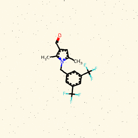 Cc1cc(C=O)c(C)n1Cc1cc(C(F)(F)F)cc(C(F)(F)F)c1